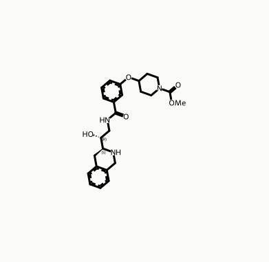 COC(=O)N1CCC(Oc2cccc(C(=O)NC[C@@H](O)[C@@H]3Cc4ccccc4CN3)c2)CC1